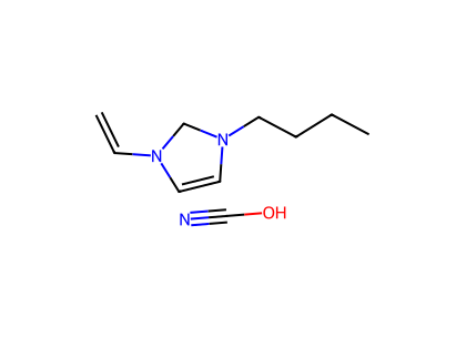 C=CN1C=CN(CCCC)C1.N#CO